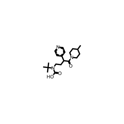 CC1CCN(C(=O)C(CCN(C(=O)O)C(C)(C)C)c2ccncc2)CC1